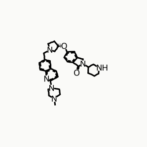 CN1CCN(c2ccc3cc(CN4CC[C@H](Oc5ccc6c(c5)CN(C5CCCNC5)C6=O)C4)ccc3n2)CC1